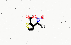 CCC1c2ccsc2C(=O)O[N+]1=O